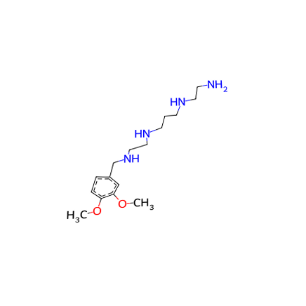 COc1ccc(CNCCNCCCNCCN)cc1OC